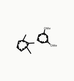 COc1c[c]cc(OC)c1.Cc1cccc(C)c1C